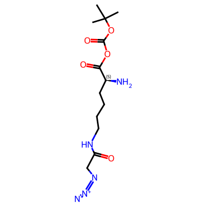 CC(C)(C)OC(=O)OC(=O)[C@@H](N)CCCCNC(=O)CN=[N+]=[N-]